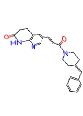 O=C1CCc2cc(/C=C/C(=O)N3CCC(=Cc4ccccc4)CC3)cnc2N1